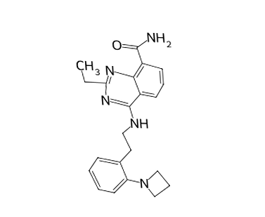 CCc1nc(NCCc2ccccc2N2CCC2)c2cccc(C(N)=O)c2n1